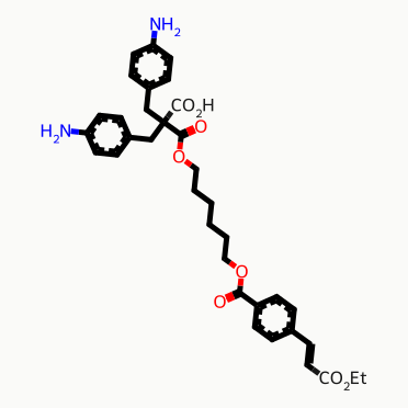 CCOC(=O)/C=C/c1ccc(C(=O)OCCCCCCOC(=O)C(Cc2ccc(N)cc2)(Cc2ccc(N)cc2)C(=O)O)cc1